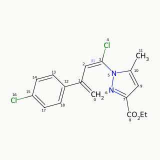 C=C(/C=C(/Cl)n1nc(C(=O)OCC)cc1C)c1ccc(Cl)cc1